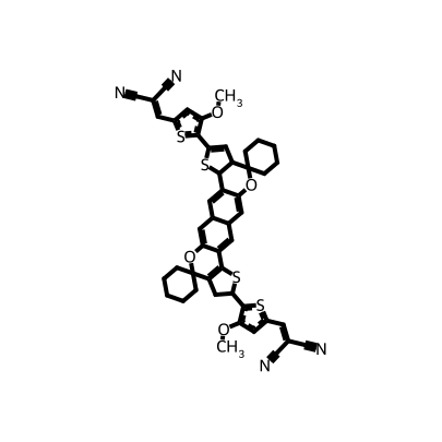 COc1cc(C=C(C#N)C#N)sc1C1=CC2C(S1)C1=CC3C=C4OC5(CCCCC5)C5=C(SC(c6sc(C=C(C#N)C#N)cc6OC)C5)C4=CC3C=C1OC21CCCCC1